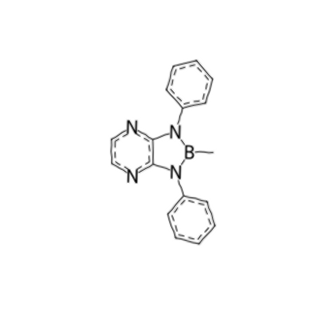 CB1N(c2ccccc2)c2nccnc2N1c1ccccc1